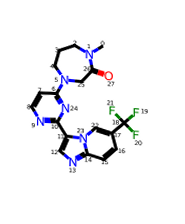 CN1CCCN(c2ccnc(-c3cnc4ccc(C(F)(F)F)cn34)n2)CC1=O